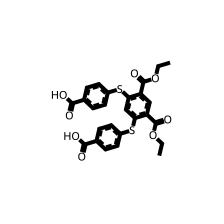 CCOC(=O)c1cc(C(=O)OCC)c(Sc2ccc(C(=O)O)cc2)cc1Sc1ccc(C(=O)O)cc1